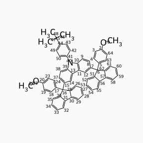 COc1ccc(C2(c3ccc4c(c3)c3cc(C5(c6ccc(OC)cc6)c6ccccc6-c6ccccc65)ccc3n4-c3ccc(C(C)(C)C)cc3)c3ccccc3-c3ccccc32)cc1